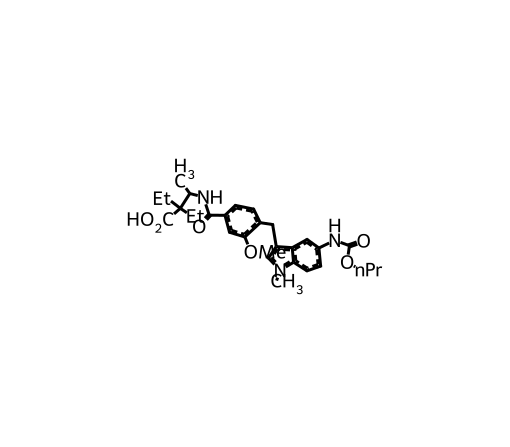 CCCOC(=O)Nc1ccc2c(c1)c(Cc1ccc(C(=O)NC(C)C(CC)(CC)C(=O)O)cc1OC)cn2C